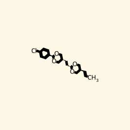 C/C=C/[C@H]1CO[C@H](CC[C@H]2CO[C@H](c3ccc(Cl)cc3)OC2)OC1